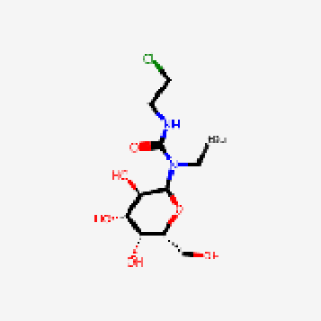 CC(C)(C)CN(C(=O)NCCCl)C1O[C@H](CO)[C@H](O)[C@H](O)[C@H]1O